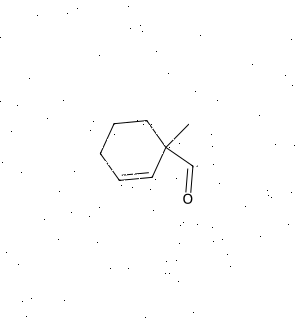 CC1([C]=O)C=CCCC1